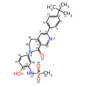 CC(C)(C)c1ccc(-c2cc3c(cn2)C(=O)N(c2ccc(O)c(NS(C)(=O)=O)c2)CC3)cc1